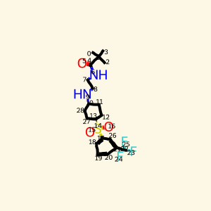 CC(C)(C)C(=O)NCCN[C@H]1CC[C@H](S(=O)(=O)c2cccc(C(F)(F)F)c2)CC1